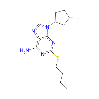 CCCCSc1nc(N)c2ncn(C3CCC(C)C3)c2n1